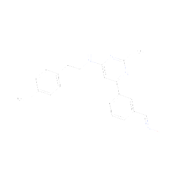 COc1ccc(CCNc2cc(-c3cccc(C=NO)c3)nc(OC)n2)cc1